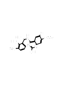 COc1cc2nc(C)nc(N[C@H](C)c3cccc(C#N)c3C)c2cc1Br